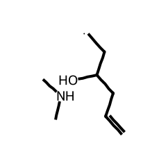 CNC.[CH2]CC(O)CC=C